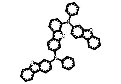 c1ccc(N(c2ccc3c(c2)oc2ccccc23)c2ccc3c(c2)oc2c(N(c4ccccc4)c4ccc5c(c4)oc4ccccc45)cccc23)cc1